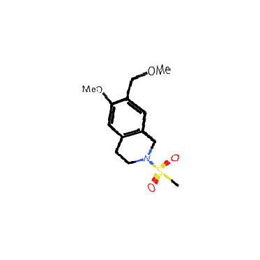 COCc1cc2c(cc1OC)CCN(S(C)(=O)=O)C2